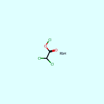 O=C(OCl)C(Cl)Cl.[RbH]